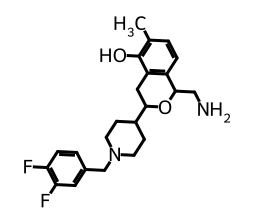 Cc1ccc2c(c1O)CC(C1CCN(Cc3ccc(F)c(F)c3)CC1)OC2CN